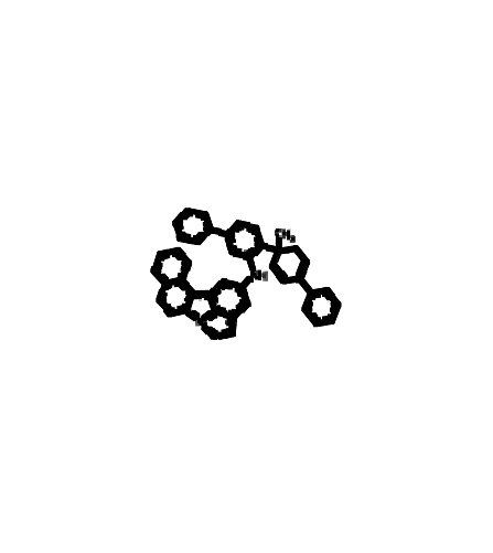 CC1(c2ccc(-c3ccccc3)cc2Nc2cc3ccn4c5ccc6ccccc6c5c(c2)c34)C=CC(c2ccccc2)=CC1